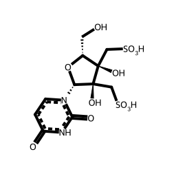 O=c1ccn([C@@H]2O[C@H](CO)[C@](O)(CS(=O)(=O)O)[C@]2(O)CS(=O)(=O)O)c(=O)[nH]1